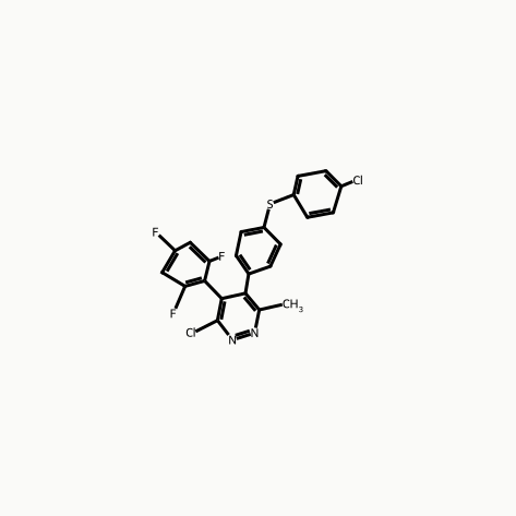 Cc1nnc(Cl)c(-c2c(F)cc(F)cc2F)c1-c1ccc(Sc2ccc(Cl)cc2)cc1